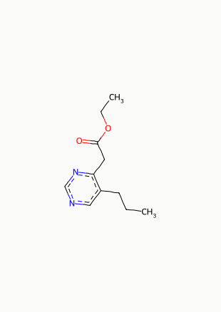 CCCc1cncnc1CC(=O)OCC